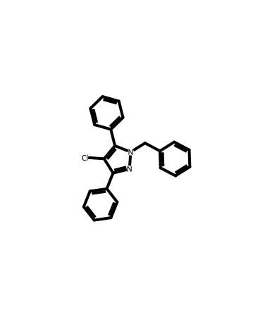 Clc1c(-c2ccccc2)nn(Cc2ccccc2)c1-c1ccccc1